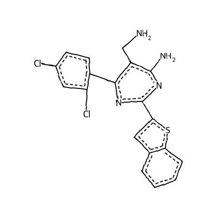 NCc1c(N)nc(-c2cc3ccccc3s2)nc1-c1ccc(Cl)cc1Cl